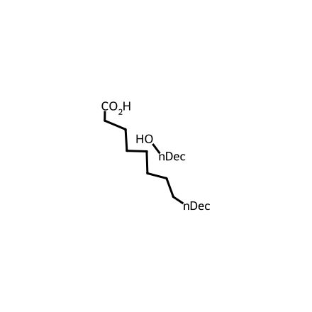 CCCCCCCCCCCCCCCCCC(=O)O.CCCCCCCCCCO